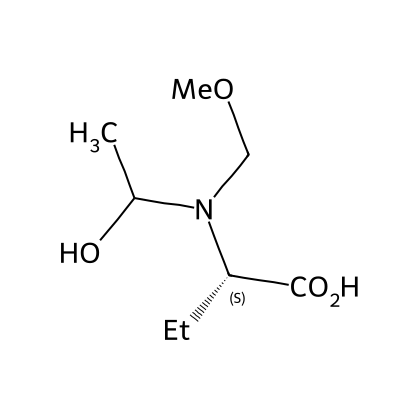 CC[C@@H](C(=O)O)N(COC)C(C)O